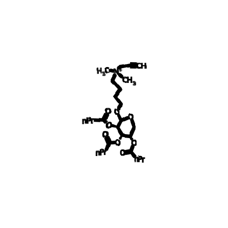 C#CC[N+](C)(C)CCCCOC1OC[C@@H](OC(=O)CCC)[C@H](OC(=O)CCC)[C@H]1OC(=O)CCC